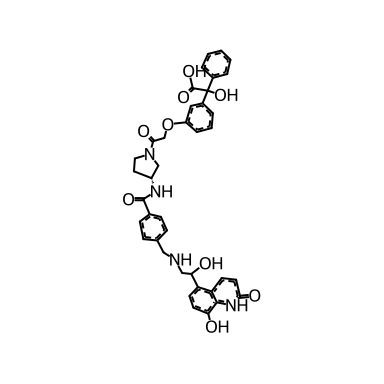 O=C(N[C@@H]1CCN(C(=O)COc2cccc(C(O)(C(=O)O)c3ccccc3)c2)C1)c1ccc(CNCC(O)c2ccc(O)c3[nH]c(=O)ccc23)cc1